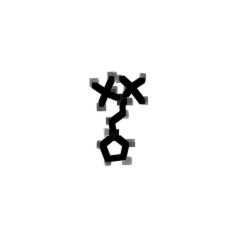 CC(C)(C)N(CCN1CCCC1)C(C)(C)C